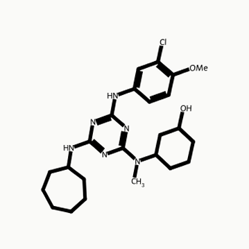 COc1ccc(Nc2nc(NC3CCCCCC3)nc(N(C)C3CCCC(O)C3)n2)cc1Cl